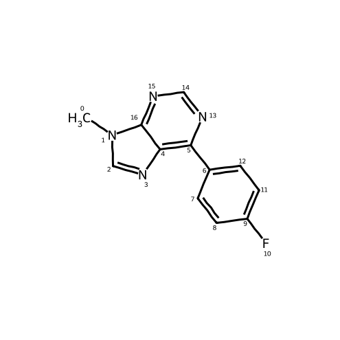 Cn1cnc2c(-c3ccc(F)cc3)ncnc21